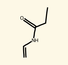 C=CNC(=O)CC